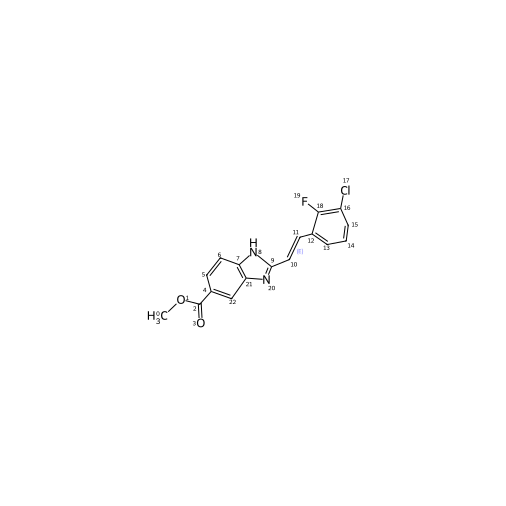 COC(=O)c1ccc2[nH]c(/C=C/c3cccc(Cl)c3F)nc2c1